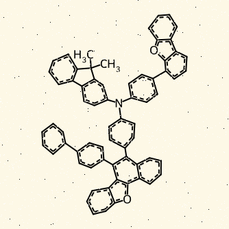 CC1(C)c2ccccc2-c2ccc(N(c3ccc(-c4c(-c5ccc(-c6ccccc6)cc5)c5c6ccccc6oc5c5ccccc45)cc3)c3ccc(-c4cccc5c4oc4ccccc45)cc3)cc21